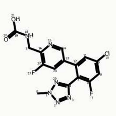 Cn1nnc(-c2c(F)cc(Cl)cc2-c2cnc(CNC(=O)O)c(F)c2)n1